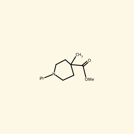 COC(=O)C1(C)CCN(C(C)C)CC1